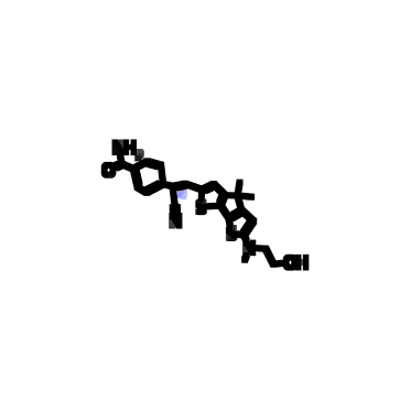 CN(CCO)c1cc2c(s1)-c1sc(/C=C(\C#N)c3ccc(C(N)=O)cc3)cc1C2(C)C